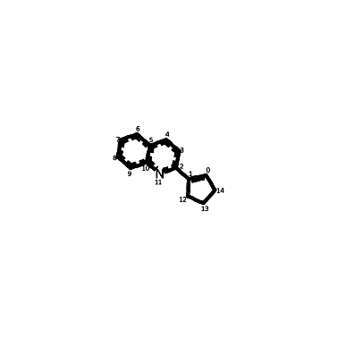 C1=C(c2ccc3ccccc3n2)CCC1